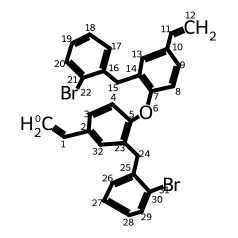 C=Cc1ccc(Oc2ccc(C=C)cc2Cc2ccccc2Br)c(Cc2ccccc2Br)c1